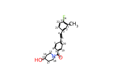 Cc1cc(C#Cc2ccc(C(=O)N3CCC(O)CC3)cc2)ccc1F